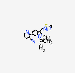 CC(C)(C)Cn1cc(CNSC2CC2)c2ccc(-c3ncccc3C#N)cc21